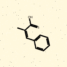 CC(=Cc1ccccc1)C(O)=S